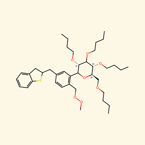 CCCCOC[C@H]1OC(c2cc(CC3Cc4ccccc4S3)ccc2COOC)[C@H](OCCCC)C(OCCCC)[C@@H]1OCCCC